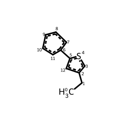 CCc1csc(-c2cc[c]cc2)c1